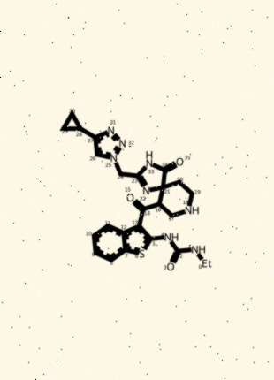 CCNC(=O)Nc1sc2ccccc2c1C(=O)C1CNCCC12N=C(Cn1cc(C3CC3)nn1)NC2=O